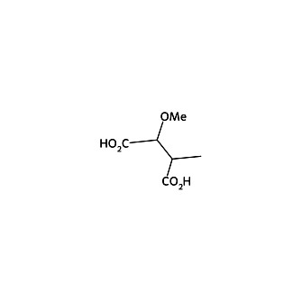 COC(C(=O)O)C(C)C(=O)O